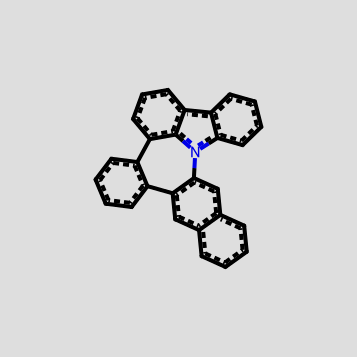 c1ccc2c(c1)-c1cc3ccccc3cc1-n1c3ccccc3c3cccc-2c31